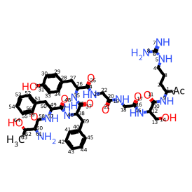 CC(=O)C(CCCNC(=N)N)NC(=O)C(CO)NC(=O)CNC(=O)CNC(=O)C(Cc1ccc(O)cc1)NC(=O)C(Cc1ccccc1)NC(=O)C(Cc1ccccc1)NC(=O)C(N)C(C)O